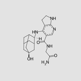 NC(=O)CNC(=O)c1cnc2c(c1N[C@H]1C3CC4CC1C[C@@](O)(C4)C3)CCN2